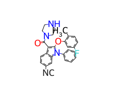 [C-]#[N+]c1ccc2c(C(=O)N3CCNCC3)c(Oc3cc(F)ccc3C)n(-c3ccccc3)c2c1